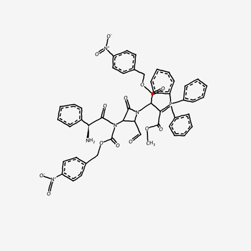 COC(=O)C(C(C(=O)OCc1ccc([N+](=O)[O-])cc1)N1C(=O)C(N(C(=O)OCc2ccc([N+](=O)[O-])cc2)C(=O)[C@@H](N)c2ccccc2)C1C=O)=P(c1ccccc1)(c1ccccc1)c1ccccc1